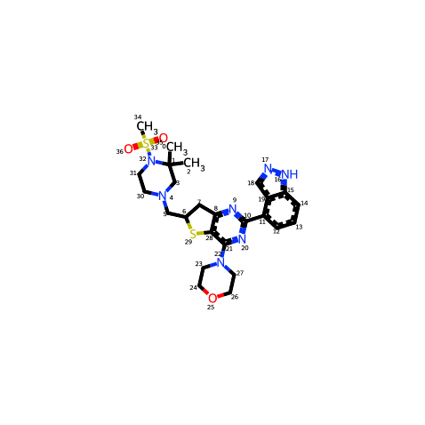 CC1(C)CN(CC2Cc3nc(-c4cccc5[nH]ncc45)nc(N4CCOCC4)c3S2)CCN1S(C)(=O)=O